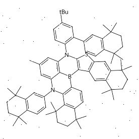 Cc1cc2c3c(c1)N(c1ccc4c(c1)C(C)(C)CCC4(C)C)c1c(ccc4c1C(C)(C)CCC4(C)C)B3c1c(sc3cc4c(cc13)C(C)(C)CCC4(C)C)N2c1ccc(C(C)(C)C)cc1-c1ccc2c(c1)C(C)(C)CCC2(C)C